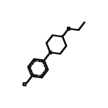 CCO[C]1CCN(c2ccc(Cl)cc2)CC1